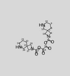 O=C(OC(=O)N1CC2(CCCNC2)C1)C(=O)OC(=O)N1CC2(CCCNC2)C1